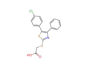 O=C(O)CSc1nc(-c2ccccc2)c(-c2ccc(Cl)cc2)s1